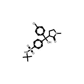 CN1CCC(C(O)(c2ccc(Cl)cc2)c2ccc(S(=O)(=O)NC(C)(C)C)cc2)C1=O